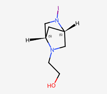 OCCN1C[C@@H]2C[C@H]1CN2I